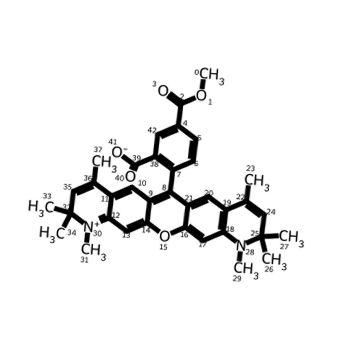 COC(=O)c1ccc(C2=c3cc4c(cc3Oc3cc5c(cc32)C(C)=CC(C)(C)N5C)=[N+](C)C(C)(C)C=C4C)c(C(=O)[O-])c1